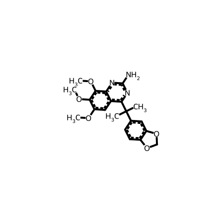 COc1cc2c(C(C)(C)c3ccc4c(c3)OCO4)nc(N)nc2c(OC)c1OC